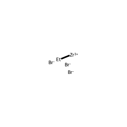 C[CH2][Zr+3].[Br-].[Br-].[Br-]